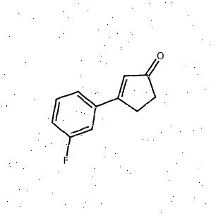 O=C1C=C(c2cccc(F)c2)CC1